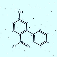 O=[N+]([O-])c1ccc(O)cc1-c1cc[c]cc1